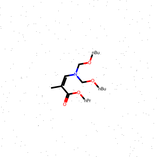 CCCCOCN(C=C(C)C(=O)OCCC)COCCCC